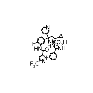 N=C(NC(=O)O)c1cccc(-n2nc(C(F)(F)F)cc2C(=O)Nc2cc(C(N)(CCC3CC3)c3cccnc3)ccc2F)c1